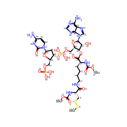 CC(C)(C)OC(=O)N[C@@H](CSSC(C)(C)C)C(=O)NCCCC[C@H](NC(=O)OC(C)(C)C)C(=O)O[C@H]1[C@@H](O)[C@H](n2cnc3c(N)ncnc32)O[C@@H]1CO[PH](O)(O)O[C@H]1C[C@H](n2ccc(N)nc2=O)O[C@@H]1COP(=O)(O)O